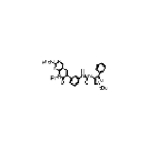 CNc1ncc2cc(-c3cccc(NC(=O)Nc4cn(C(C)(C)C)nc4-c4ccccc4)c3)c(=O)n(C(C)C)c2n1